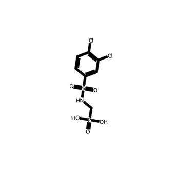 O=P(O)(O)CNS(=O)(=O)c1ccc(Cl)c(Cl)c1